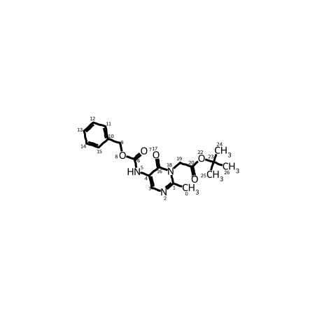 Cc1ncc(NC(=O)OCc2ccccc2)c(=O)n1CC(=O)OC(C)(C)C